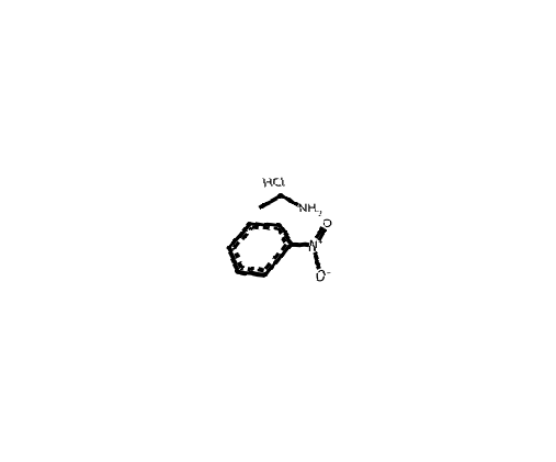 CCN.Cl.O=[N+]([O-])c1ccccc1